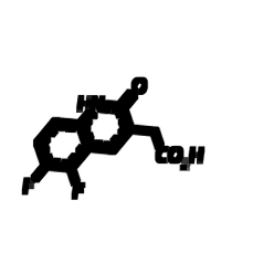 O=C(O)Cc1cc2c(F)c(F)ccc2[nH]c1=O